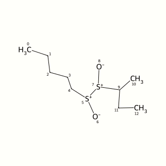 CCCCC[S+]([O-])[S+]([O-])C(C)CC